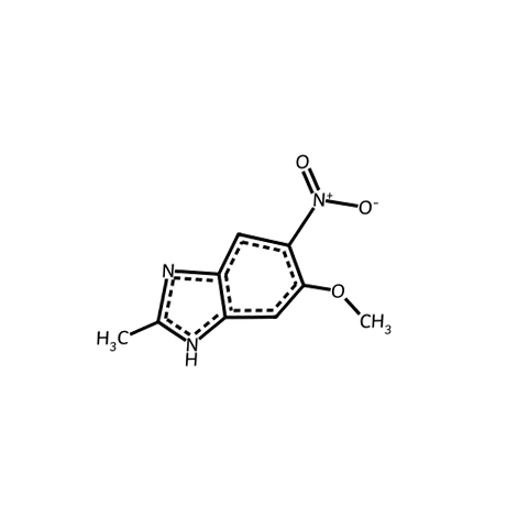 COc1cc2[nH]c(C)nc2cc1[N+](=O)[O-]